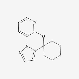 c1cnc2c(c1)-n1nccc1C1(CCCCC1)O2